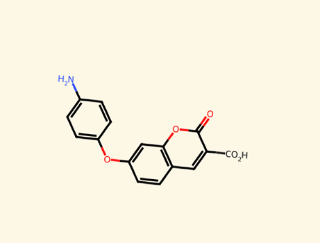 Nc1ccc(Oc2ccc3cc(C(=O)O)c(=O)oc3c2)cc1